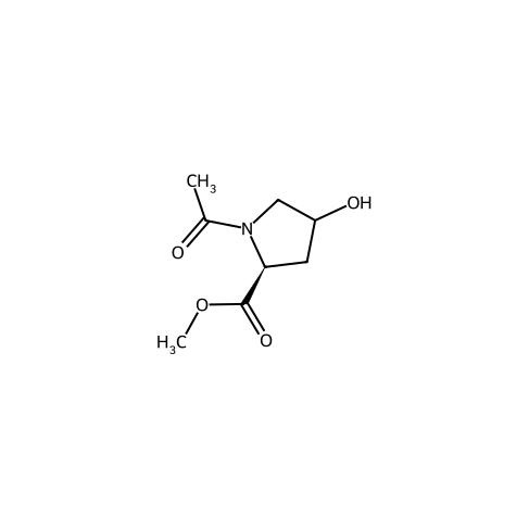 COC(=O)[C@@H]1CC(O)CN1C(C)=O